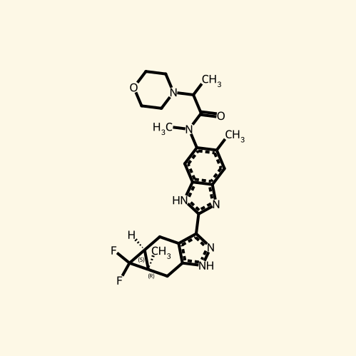 Cc1cc2nc(-c3n[nH]c4c3C[C@@H]3C(F)(F)[C@]3(C)C4)[nH]c2cc1N(C)C(=O)C(C)N1CCOCC1